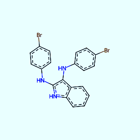 Brc1ccc(Nc2[nH]c3ccccc3c2Nc2ccc(Br)cc2)cc1